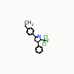 CCc1ccc(C2=NC(C(F)(Cl)Cl)C(c3ccccc3)C2)cc1